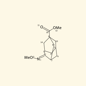 CON=C1C2CC3CC1CC(C(=O)OC)(C3)C2